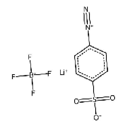 F[B-](F)(F)F.N#[N+]c1ccc(S(=O)(=O)[O-])cc1.[Li+]